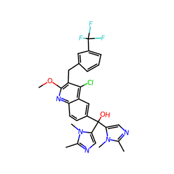 COc1nc2ccc(C(O)(c3cnc(C)n3C)c3cnc(C)n3C)cc2c(Cl)c1Cc1cccc(C(F)(F)F)c1